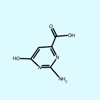 Nc1nc(O)cc(C(=O)O)n1